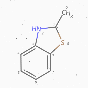 C[C]1Nc2ccccc2S1